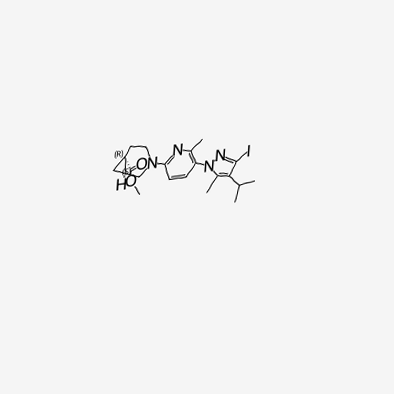 COC(=O)[C@]12CCN(c3ccc(-n4nc(I)c(C(C)C)c4C)c(C)n3)C[C@H]1C2